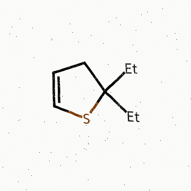 CCC1(CC)CC=CS1